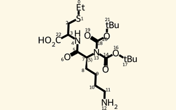 CCSCC(NC(=O)[C@H](CCCCN)N(C(=O)OC(C)(C)C)C(=O)OC(C)(C)C)C(=O)O